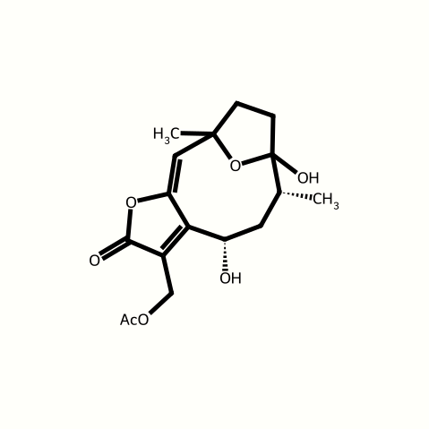 CC(=O)OCC1=C2/C(=C\C3(C)CCC(O)(O3)[C@H](C)C[C@@H]2O)OC1=O